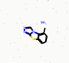 Cc1cccc2sc3nncn3c12.N